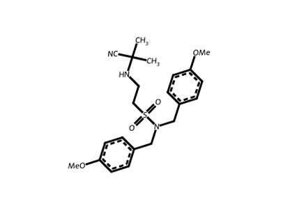 COc1ccc(CN(Cc2ccc(OC)cc2)S(=O)(=O)CCNC(C)(C)C#N)cc1